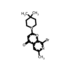 Cc1cc2c(=O)cc(N3CCC(C)(C)CC3)oc2c(Br)n1